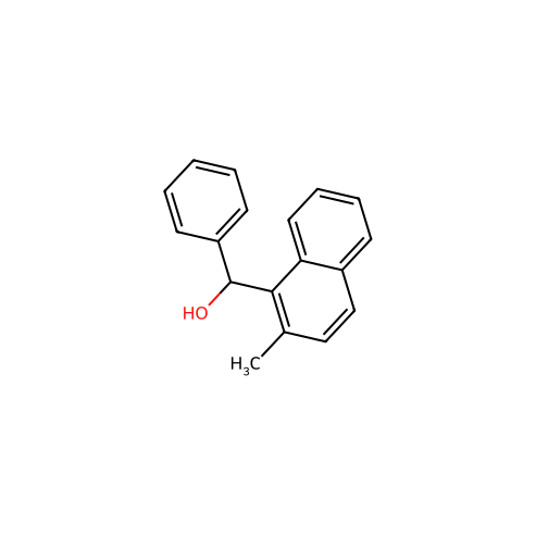 Cc1ccc2ccccc2c1C(O)c1ccccc1